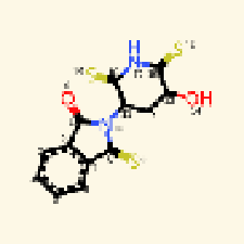 O=C1c2ccccc2C(=S)N1C1CC(O)C(=S)NC1=S